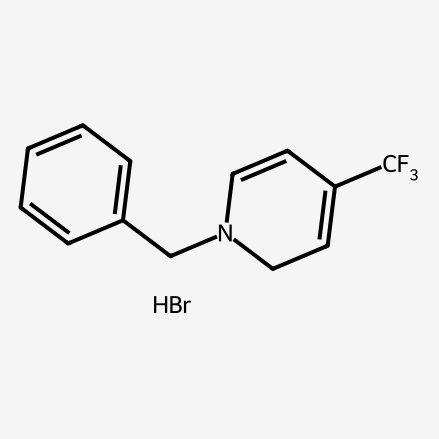 Br.FC(F)(F)C1=CCN(Cc2ccccc2)C=C1